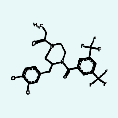 CCC(=O)N1CCN(C(=O)c2cc(C(F)(F)F)cc(C(F)(F)F)c2)C(Cc2ccc(Cl)c(Cl)c2)C1